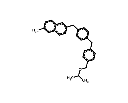 Cc1ccc2cc(Cc3ccc(Cc4ccc(COC(C)C)cc4)cc3)ccc2c1